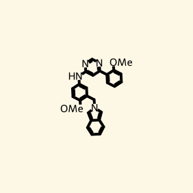 COc1ccc(Nc2cc(-c3ccccc3OC)ncn2)cc1Cn1cc2ccccc2c1